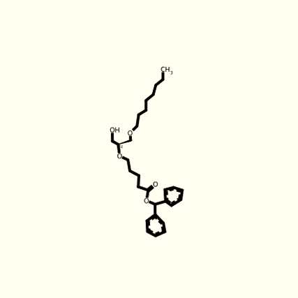 CCCCCCCCOC[C@H](CO)OCCCCC(=O)OC(c1ccccc1)c1ccccc1